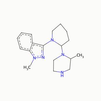 CC1CNCCN1C1CCCCN1c1nn(C)c2ccccc12